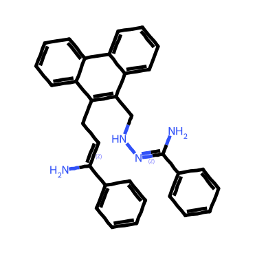 N/C(=C\Cc1c(CN/N=C(\N)c2ccccc2)c2ccccc2c2ccccc12)c1ccccc1